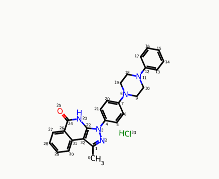 Cc1nn(-c2ccc(N3CCN(c4ccccc4)CC3)cc2)c2[nH]c(=O)c3ccccc3c12.Cl